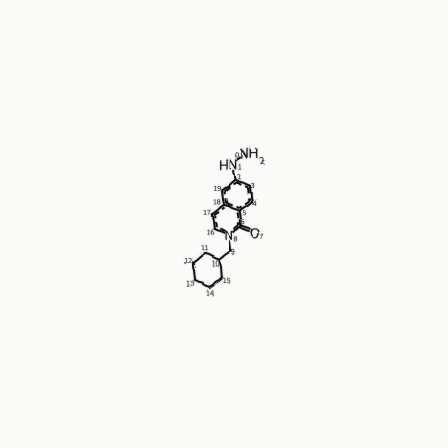 NNc1ccc2c(=O)n(CC3CCCCC3)ccc2c1